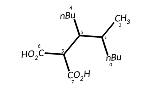 CCCCC(C)C(CCCC)C(C(=O)O)C(=O)O